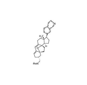 CNC[C@@H]1CC=C2C=C3CC[C@]4(C)[C@@H](c5ccc6ccncc6c5)CC[C@H]4[C@@]34CC[C@]2(C1)O4